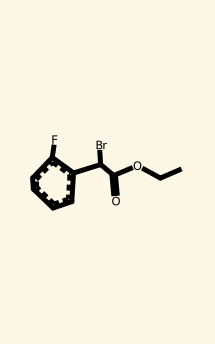 CCOC(=O)C(Br)c1ccccc1F